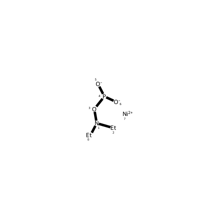 CCN(CC)OP([O-])[O-].[Ni+2]